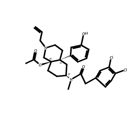 C=CCN1CC[C@@]2(c3cccc(O)c3)C[C@H](N(C)C(=O)Cc3ccc(Cl)c(Cl)c3)CC[C@]2(OC(C)=O)C1